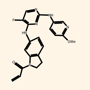 C=CC(=O)N1CCc2ccc(Nc3nc(Nc4ccc(OC)nc4)ncc3F)cc21